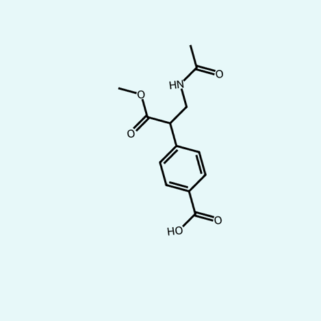 COC(=O)C(CNC(C)=O)c1ccc(C(=O)O)cc1